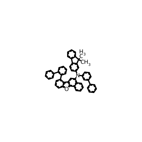 CC1(C)c2ccccc2-c2ccc(N(c3cccc(-c4ccccc4)c3)c3cc4c(oc5cccc(-c6ccccc6-c6ccccc6)c54)c4ccccc34)cc21